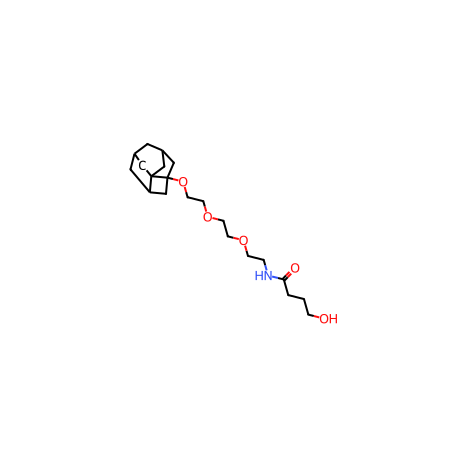 O=C(CCCO)NCCOCCOCCOC12CC3CC4CC(C1)C2(C4)C3